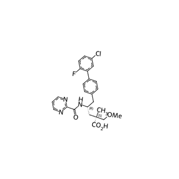 COC[C@](C)(C[C@@H](Cc1ccc(-c2cc(Cl)ccc2F)cc1)NC(=O)c1ncccn1)C(=O)O